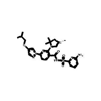 CC(C)COc1cnn(-c2ccc(C(=O)NS(=O)(=O)c3cccc(N)n3)c(N3C[C@@H](C)CC3(C)C)n2)c1